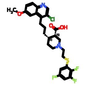 COc1ccc2ncc(Cl)c(CCC[C@H]3CCN(CCSc4cc(F)cc(F)c4F)C[C@H]3C(=O)O)c2c1